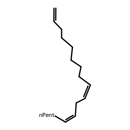 C=CCCCCCC/C=C\C/C=C\CCCCC